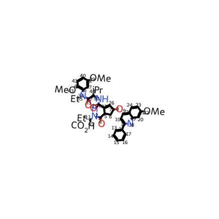 CC[C@H](NC(=O)C1CC(Oc2cc(-c3ccccc3)nc3cc(OC)ccc23)C=C1C(=O)NC(C(=O)N(CC)c1cc(OC)ccc1OC)C(C)C)C(=O)O